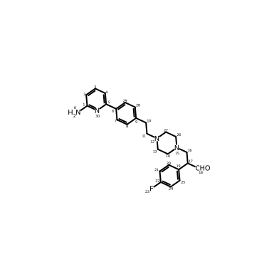 Nc1cccc(-c2ccc(CCN3CCN(CC(C=O)c4ccc(F)cc4)CC3)cc2)n1